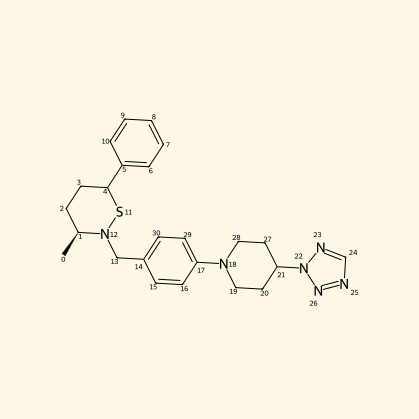 C[C@H]1CCC(c2ccccc2)SN1Cc1ccc(N2CCC(n3ncnn3)CC2)cc1